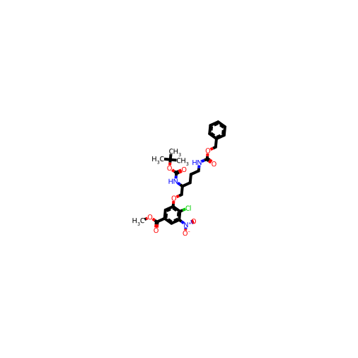 COC(=O)c1cc(OCC(CCCNC(=O)OCc2ccccc2)NC(=O)OC(C)(C)C)c(Cl)c([N+](=O)[O-])c1